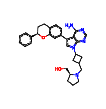 Nc1ncnc2c1c(-c1ccc3c(c1)O[C@@H](c1ccccc1)CC3)cn2C1CC(CN2CCC[C@H]2CO)C1